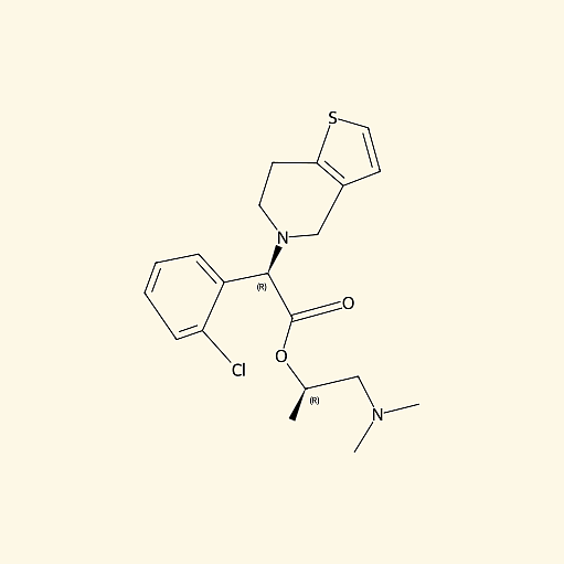 C[C@H](CN(C)C)OC(=O)[C@@H](c1ccccc1Cl)N1CCc2sccc2C1